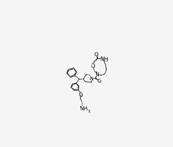 NCCOc1cccc(C(c2ccccc2)C2CCN(C(=O)N3CCCCNC(=O)COC3)CC2)c1